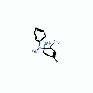 CCCCN(c1ccccc1)C1(N)C=CC([N+](=O)[O-])=CC1C(=O)O